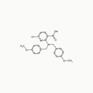 COc1ccc(CN(Cc2ccc(OC)cc2)c2nc(Cl)ccc2[N+](=O)O)cc1